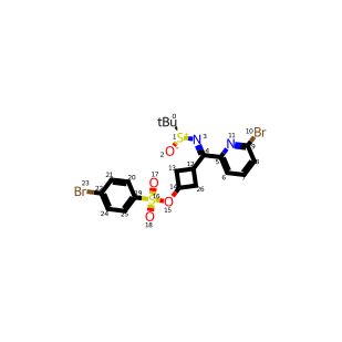 CC(C)(C)[S@@+]([O-])/N=C(/c1cccc(Br)n1)C1CC(OS(=O)(=O)c2ccc(Br)cc2)C1